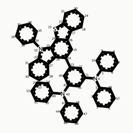 c1ccc(N(c2ccccc2)c2cc(-c3cc4c5ccccc5sc4c4c3c3ccccc3n4-c3ccccc3)cc(N(c3ccccc3)c3ccccc3)c2)cc1